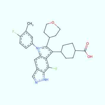 Cc1cc(-n2c(C3CCOCC3)c(C3CCC(C(=O)O)CC3)c3c(F)c4[nH]ncc4cc32)ccc1F